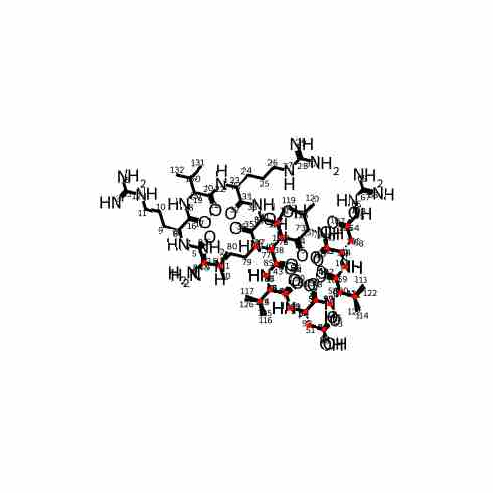 CC(C)[C@H](N)C(=O)N[C@@H](CCCNC(=N)N)C(=O)N[C@H](C(=O)N[C@@H](CCCNC(=N)N)C(=O)N[C@H](C(=O)N[C@@H](CC(=O)O)C(=O)N[C@H](C(=O)N[C@@H](CC(=O)O)C(=O)N[C@H](C(=O)N[C@@H](CCCNC(=N)N)C(=O)N[C@H](C(=O)N[C@@H](CCCNC(=N)N)C(=O)N[C@H](C(=O)N[C@@H](CC(=O)O)C(=O)N[C@H](C(=O)N[C@@H](CC(=O)O)C(=O)O)C(C)C)C(C)C)C(C)C)C(C)C)C(C)C)C(C)C)C(C)C